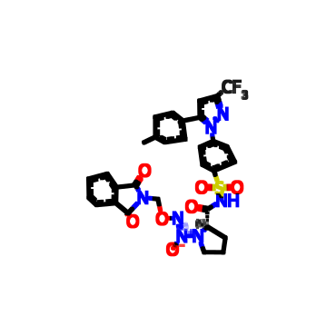 Cc1ccc(-c2cc(C(F)(F)F)nn2-c2ccc(S(=O)(=O)NC(=O)[C@@H]3CCCN3/[N+]([O-])=N/OCN3C(=O)c4ccccc4C3=O)cc2)cc1